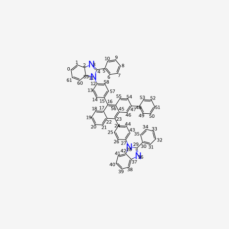 C1=CC2N=C(c3ccccc3)N(c3ccc(-c4c5ccccc5c(-c5ccc(-n6c(-c7ccccc7)nc7ccccc76)cc5)c5cc(-c6ccccc6)ccc45)cc3)C2C=C1